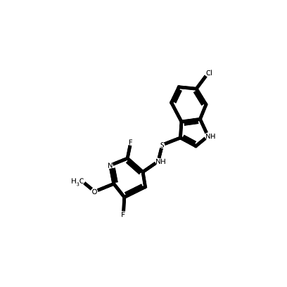 COc1nc(F)c(NSc2c[nH]c3cc(Cl)ccc23)cc1F